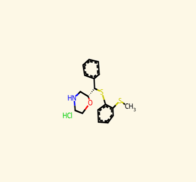 CSc1ccccc1SC(c1ccccc1)[C@H]1CNCCO1.Cl